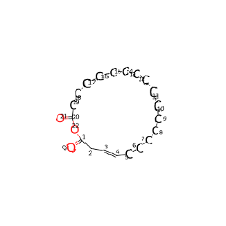 O=C1C/C=C/CCCCCCCCCCCCCCCC(=O)O1